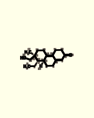 CC[C@H]1[C@@H]2CCC3=CC(=O)CCC3=C2CC[C@]1(C)CO